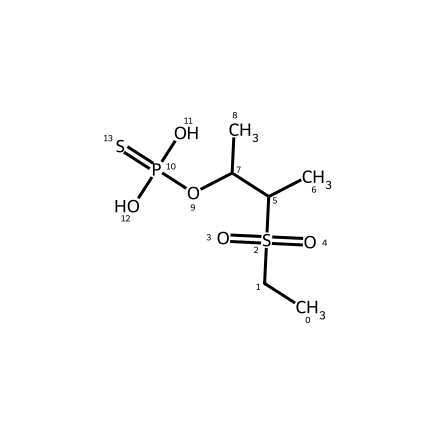 CCS(=O)(=O)C(C)C(C)OP(O)(O)=S